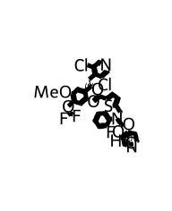 COc1cc([C@H](Cc2c(Cl)cncc2Cl)OC(=O)c2ccc(CN(C(=O)O[C@H]3CN4CCC3CC4)c3ccccc3F)s2)ccc1OC(F)F